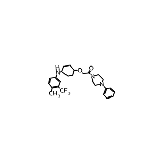 Cc1ccc(NC2CCC(OCC(=O)N3CCN(c4ccccc4)CC3)CC2)cc1C(F)(F)F